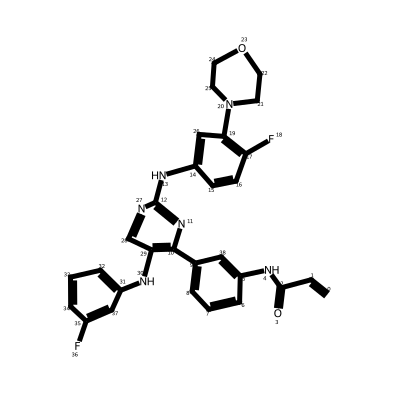 C=CC(=O)Nc1cccc(-c2nc(Nc3ccc(F)c(N4CCOCC4)c3)ncc2Nc2cccc(F)c2)c1